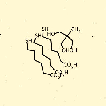 CC(CO)(CO)CO.O=C(O)CCCCCS.O=C(O)CCCCCS.O=C(O)CCCCCS